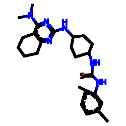 Cc1ccc(C)c(NC(=S)NC2CCC(Nc3nc4c(c(N(C)C)n3)CCCC4)CC2)c1